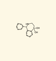 OS1(O)CCNC(c2ccccc2)c2cc[c]cc21